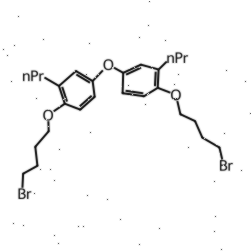 CCCc1cc(Oc2ccc(OCCCCBr)c(CCC)c2)ccc1OCCCCBr